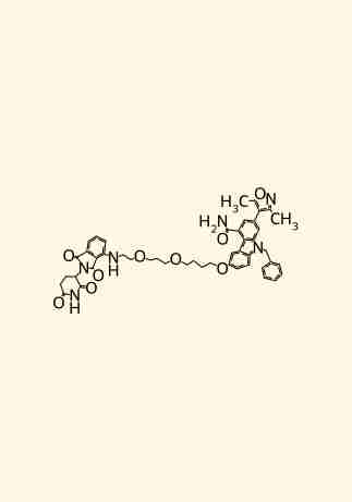 Cc1noc(C)c1-c1cc(C(N)=O)c2c3cc(OCCCCOCCCOCCNc4cccc5c4C(=O)N(C4CCC(=O)NC4=O)C5=O)ccc3n(Cc3ccccc3)c2c1